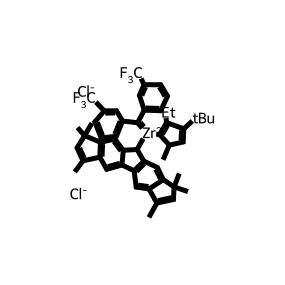 CCC1=[C]([Zr+2](=[C](c2cccc(C(F)(F)F)c2)c2cccc(C(F)(F)F)c2)[CH]2c3cc4c(cc3-c3cc5c(cc32)C(C)(C)C=C5C)C(C)=CC4(C)C)C(C)C=C1C(C)(C)C.[Cl-].[Cl-]